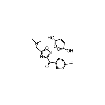 CN(C)Cc1nc(C(=O)c2ccc(F)cc2)no1.O=C(O)/C=C\C(=O)O